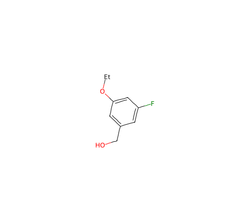 CCOc1cc(F)cc(CO)c1